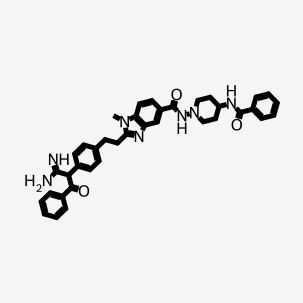 Cn1c(CCc2ccc(C(C(=N)N)C(=O)c3ccccc3)cc2)nc2cc(C(=O)NN3CCC(NC(=O)c4ccccc4)CC3)ccc21